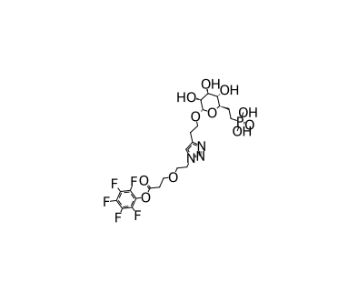 O=C(CCOCCn1cc(CCO[C@H]2O[C@H](CCP(=O)(O)O)[C@@H](O)[C@H](O)[C@@H]2O)nn1)Oc1c(F)c(F)c(F)c(F)c1F